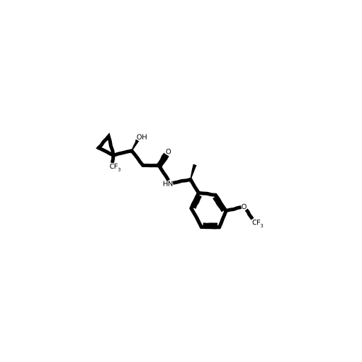 C[C@H](NC(=O)C[C@H](O)C1(C(F)(F)F)CC1)c1cccc(OC(F)(F)F)c1